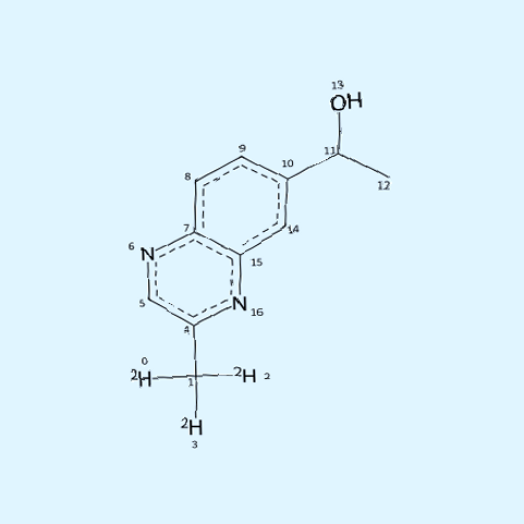 [2H]C([2H])([2H])c1cnc2ccc(C(C)O)cc2n1